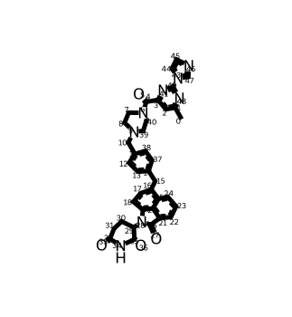 Cc1cc(C(=O)N2CCN(Cc3ccc(Cc4ccc5c6c(cccc46)C(=O)N5C4CCC(=O)NC4=O)cc3)CC2)nc(-n2ccnc2)n1